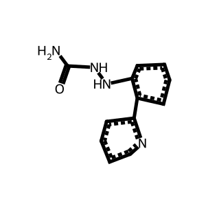 NC(=O)NNc1ccccc1-c1ccccn1